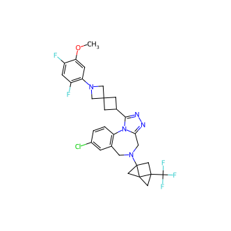 COc1cc(N2CC3(CC(c4nnc5n4-c4ccc(Cl)cc4CN(C46CC7(C(F)(F)F)CC47C6)C5)C3)C2)c(F)cc1F